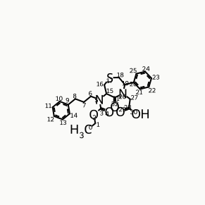 CCOC(=O)N(CCCc1ccccc1)C1CSCC(c2ccccc2)N(CC(=O)O)C1=O